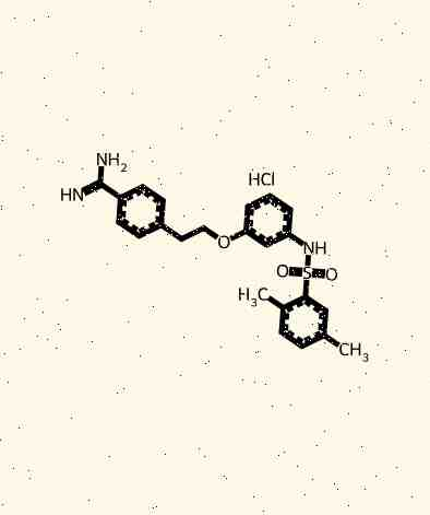 Cc1ccc(C)c(S(=O)(=O)Nc2cccc(OCCc3ccc(C(=N)N)cc3)c2)c1.Cl